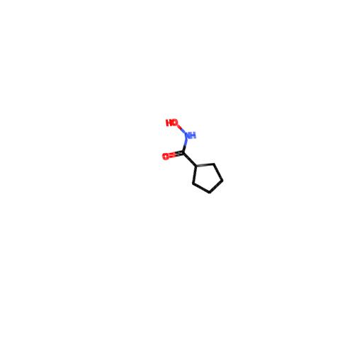 O=C(NO)C1CCCC1